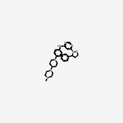 CN1CCN(C2CCN(c3ccc(Nc4cc(N5OCCC5c5ccccc5)ncn4)cc3)CC2)CC1